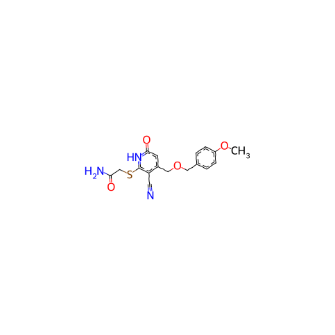 COc1ccc(COCc2cc(=O)[nH]c(SCC(N)=O)c2C#N)cc1